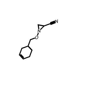 N#CC1CN1OCC1CC=CCC1